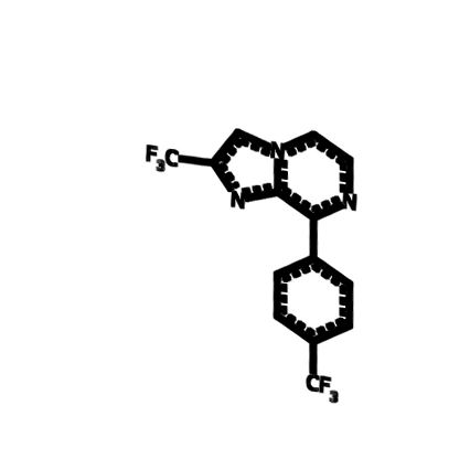 FC(F)(F)c1ccc(-c2nccn3cc(C(F)(F)F)nc23)cc1